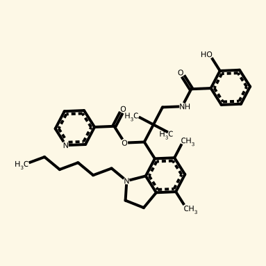 CCCCCCN1CCc2c(C)cc(C)c(C(OC(=O)c3cccnc3)C(C)(C)CNC(=O)c3ccccc3O)c21